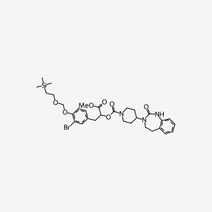 COC(=O)C(Cc1ccc(OCOCC[Si](C)(C)C)c(Br)c1)OC(=O)N1CCC(N2CCc3ccccc3NC2=O)CC1